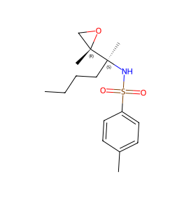 CCCC[C@](C)(NS(=O)(=O)c1ccc(C)cc1)[C@]1(C)CO1